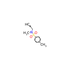 C#CCN(C)S(=O)(=O)c1ccc(C)cc1